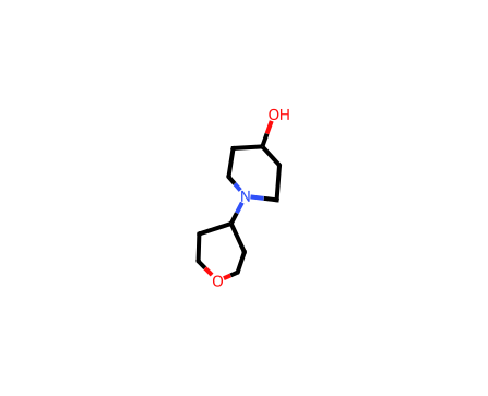 OC1CCN(C2CCOCC2)CC1